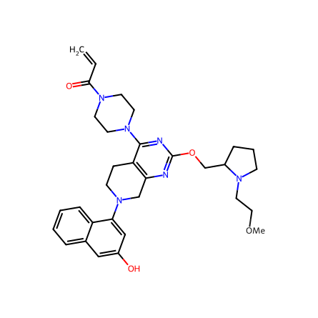 C=CC(=O)N1CCN(c2nc(OCC3CCCN3CCOC)nc3c2CCN(c2cc(O)cc4ccccc24)C3)CC1